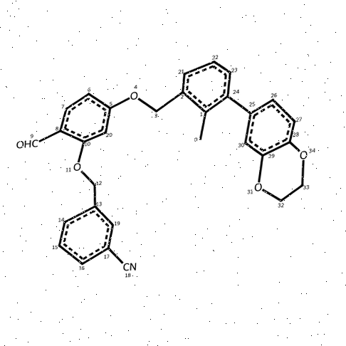 Cc1c(COc2ccc(C=O)c(OCc3cccc(C#N)c3)c2)cccc1-c1ccc2c(c1)OCCO2